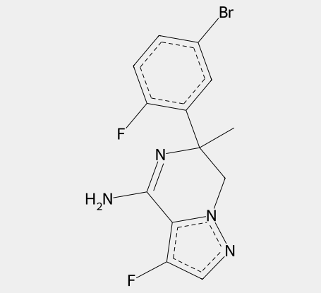 CC1(c2cc(Br)ccc2F)Cn2ncc(F)c2C(N)=N1